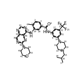 Cc1ccc(C(=O)Nc2cc(N3CCN(CC(C)C)CC3)cc(C(F)(F)F)c2)cc1Nc1ncnc2cnc(N3CCOCC3)nc12